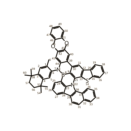 Cc1cc2c(cc1N1B3c4c(cc5c(sc6ccccc65)c4-n4c5c3cccc5c3ccc5ccccc5c34)-c3cc4c(cc31)Oc1ccccc1O4)C(C)(C)CCC2(C)C